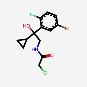 O=C(CCl)NCC(O)(c1cc(Br)ccc1F)C1CC1